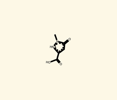 Cn1[nH]c(C(=O)O)cc1=O